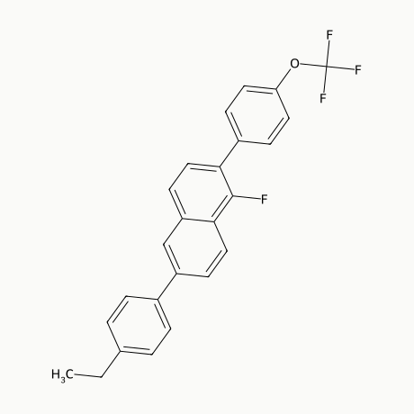 CCc1ccc(-c2ccc3c(F)c(-c4ccc(OC(F)(F)F)cc4)ccc3c2)cc1